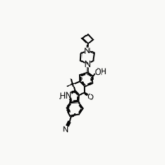 CC1(C)c2cc(N3CCN(C4CCC4)CC3)c(O)cc2C(=O)c2c1[nH]c1cc(C#N)ccc21